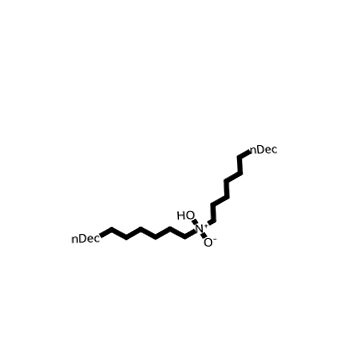 CCCCCCCCCCCCCCCC[N+]([O-])(O)CCCCCCCCCCCCCCCC